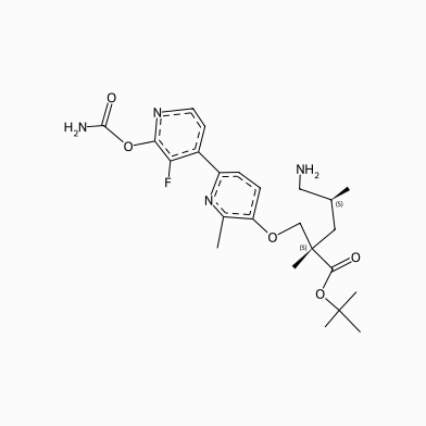 Cc1nc(-c2ccnc(OC(N)=O)c2F)ccc1OC[C@](C)(C[C@H](C)CN)C(=O)OC(C)(C)C